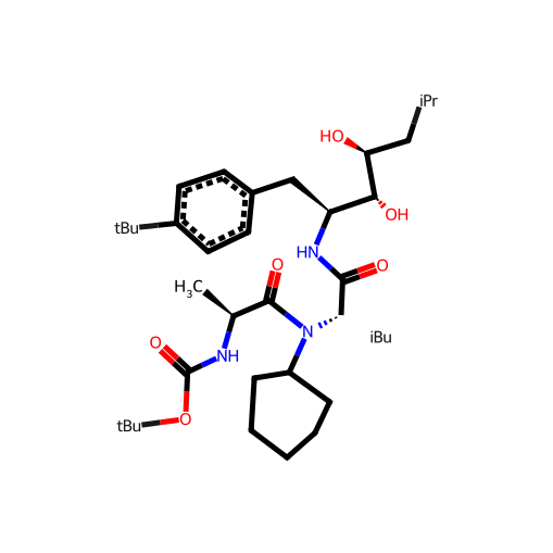 CC[C@H](C)[C@@H](C(=O)N[C@@H](Cc1ccc(C(C)(C)C)cc1)[C@@H](O)[C@@H](O)CC(C)C)N(C(=O)[C@H](C)NC(=O)OC(C)(C)C)C1CCCCC1